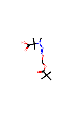 CN(N=NOCOC(=O)C(C)(C)C)C(C)(C)C(=O)O